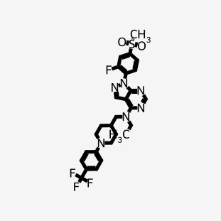 CCN(CC1CCN(c2ccc(C(F)(F)F)cc2)CC1)c1ncnc2c1cnn2-c1ccc(S(C)(=O)=O)cc1F